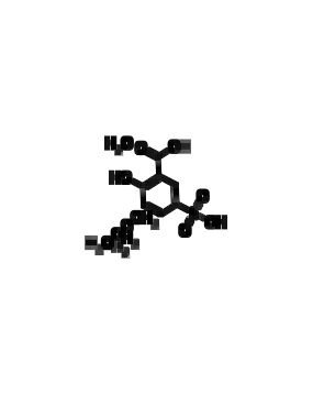 O.O.O.O.O.O=C(O)c1cc(S(=O)(=O)O)ccc1O